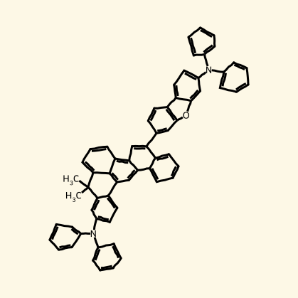 CC1(C)c2cc(N(c3ccccc3)c3ccccc3)ccc2-c2cc3c4ccccc4c(-c4ccc5c(c4)oc4cc(N(c6ccccc6)c6ccccc6)ccc45)cc3c3cccc1c23